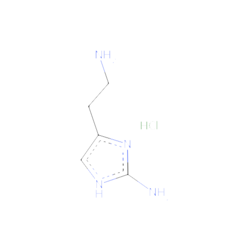 Cl.NCCc1c[nH]c(N)n1